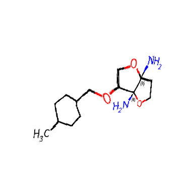 CC1CCC(COC2CO[C@]3(N)CCO[C@]23N)CC1